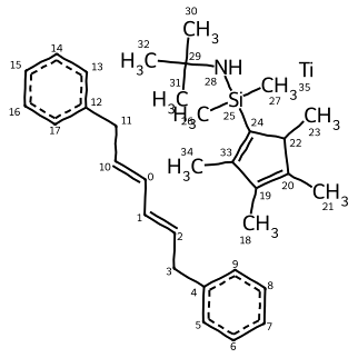 C(C=CCc1ccccc1)=CCc1ccccc1.CC1=C(C)C(C)C([Si](C)(C)NC(C)(C)C)=C1C.[Ti]